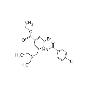 CCOC(=O)c1cc(Br)c(NC(=O)c2ccc(Cl)cc2)c(CN(CC)CC)c1